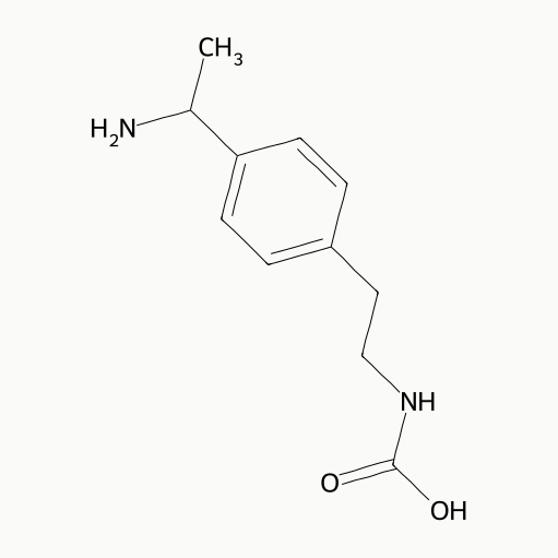 CC(N)c1ccc(CCNC(=O)O)cc1